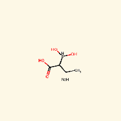 CCC(C(=O)O)[SiH](O)O.[NaH]